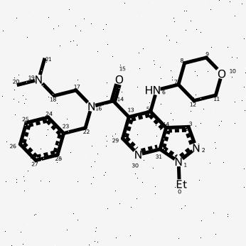 CCn1ncc2c(NC3CCOCC3)c(C(=O)N(CCN(C)C)Cc3ccccc3)cnc21